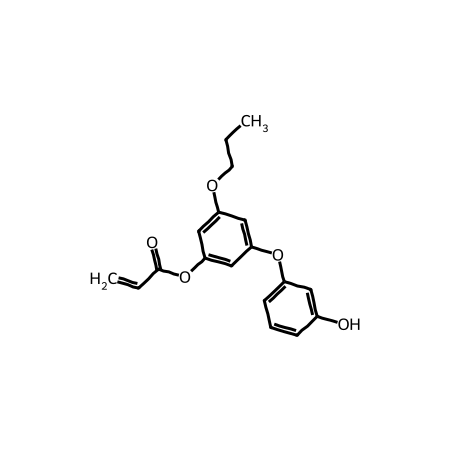 C=CC(=O)Oc1cc(OCCC)cc(Oc2cccc(O)c2)c1